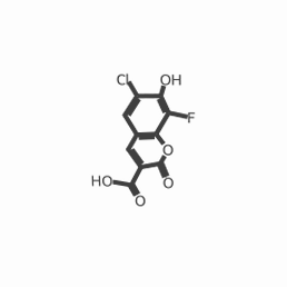 O=C(O)c1cc2cc(Cl)c(O)c(F)c2oc1=O